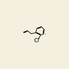 C=CCc1ccc[c]c1Cl